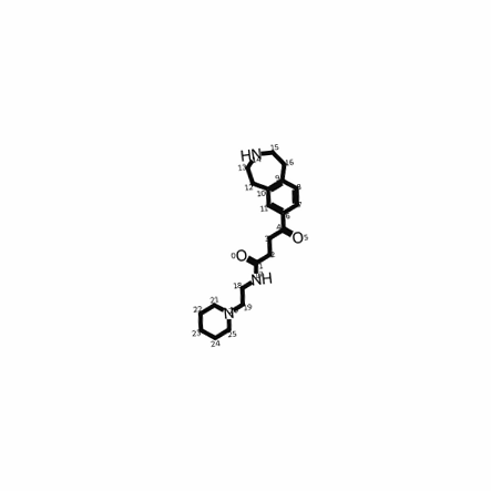 O=C(CCC(=O)c1ccc2c(c1)CCNCC2)NCCN1CCCCC1